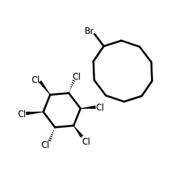 BrC1CCCCCCCCC1.Cl[C@H]1[C@H](Cl)[C@@H](Cl)[C@@H](Cl)[C@H](Cl)[C@H]1Cl